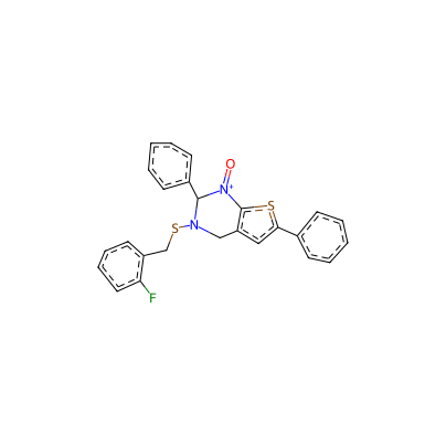 O=[N+]1c2sc(-c3ccccc3)cc2CN(SCc2ccccc2F)C1c1ccccc1